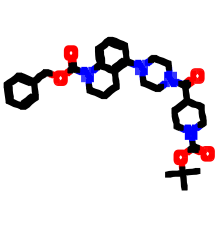 CC(C)(C)OC(=O)N1CCC(C(=O)N2CCN(c3cccc4c3CCCN4C(=O)OCc3ccccc3)CC2)CC1